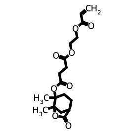 C=CC(=O)OCCOC(=O)CCC(=O)OC1(C)CCC2CC1(C)OC2=O